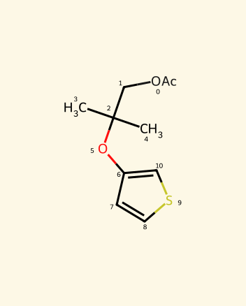 CC(=O)OCC(C)(C)Oc1ccsc1